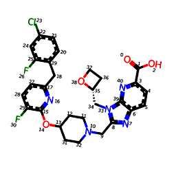 O=C(O)c1ccc2nc(CN3CCC(Oc4nc(Cc5ccc(Cl)cc5F)ccc4F)CC3)n(C[C@H]3CCO3)c2n1